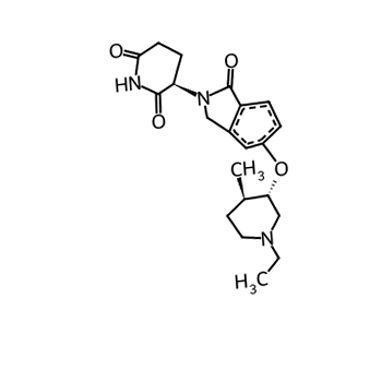 CCN1CC[C@@H](C)[C@H](Oc2ccc3c(c2)CN([C@@H]2CCC(=O)NC2=O)C3=O)C1